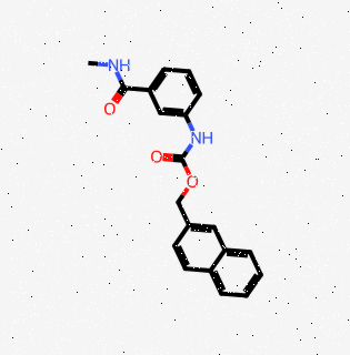 CNC(=O)c1cccc(NC(=O)OCc2ccc3ccccc3c2)c1